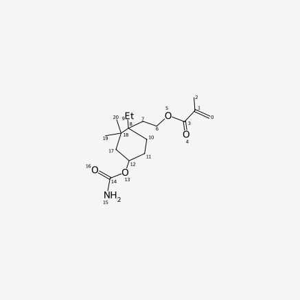 C=C(C)C(=O)OCCC1(CC)CCC(OC(N)=O)CC1(C)C